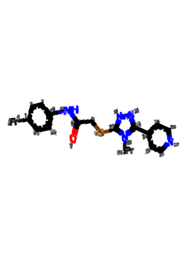 CC(C)c1ccc(NC(=O)CSc2nnc(-c3ccncc3)n2C(C)C)cc1